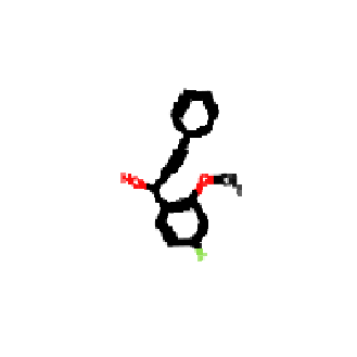 COc1cc(F)ccc1C(O)C#Cc1ccccc1